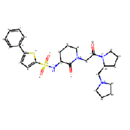 O=C1[C@@H](NS(=O)(=O)c2ccc(-c3ccccc3)s2)CCCN1CC(=O)N1CCC[C@H]1CN1CCCC1